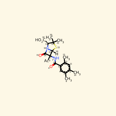 CC(=O)C1(NC(=O)c2cc(C)c(C)cc2C)C(=O)N2[C@@H](C(=O)O)C(C)(C)S[C@@H]21